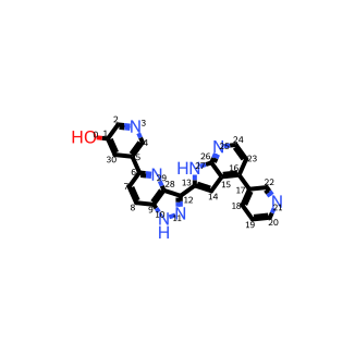 Oc1cncc(-c2ccc3[nH]nc(-c4cc5c(-c6cccnc6)ccnc5[nH]4)c3n2)c1